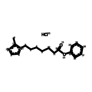 Cc1nccn1CCCCCCC(=O)Oc1ccccc1.Cl